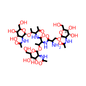 CC(=O)NC1[C@@H](OCC(N)C(=O)NC(C(=O)NC(C(C)=O)C(C)O[C@H]2OC(CO)[C@H](O)[C@H](O)C2NC(C)=O)C(C)O[C@H]2OC(CO)[C@H](O)[C@H](O)C2NC(C)=O)OC(CO)[C@H](O)[C@@H]1O